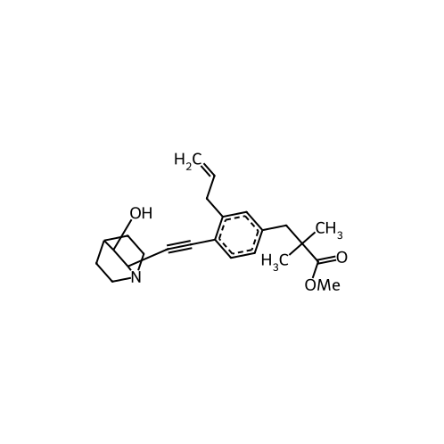 C=CCc1cc(CC(C)(C)C(=O)OC)ccc1C#CC1C(O)C2CCN1CC2